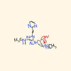 CNC(=O)[C@]12CC1[C@@H](n1cnc3c(NC)nc(C#Cc4ncccn4)nc31)CC2O